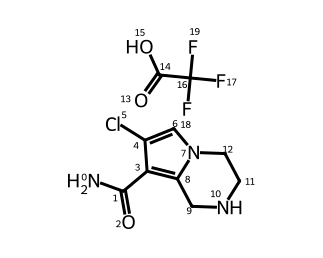 NC(=O)c1c(Cl)cn2c1CNCC2.O=C(O)C(F)(F)F